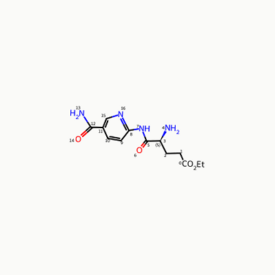 CCOC(=O)CC[C@H](N)C(=O)Nc1ccc(C(N)=O)cn1